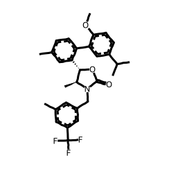 COc1ccc(C(C)C)cc1-c1ccc(C)cc1[C@@H]1OC(=O)N(Cc2cc(C)cc(C(F)(F)F)c2)[C@H]1C